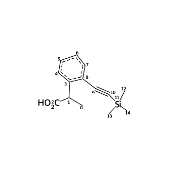 CC(C(=O)O)c1ccccc1C#C[Si](C)(C)C